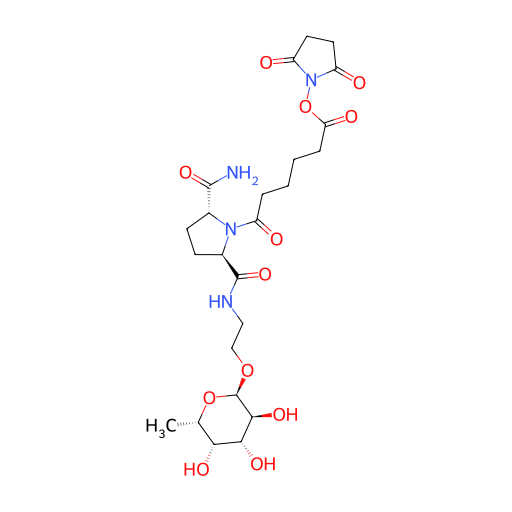 C[C@@H]1O[C@@H](OCCNC(=O)[C@H]2CC[C@H](C(N)=O)N2C(=O)CCCCC(=O)ON2C(=O)CCC2=O)[C@@H](O)[C@H](O)[C@@H]1O